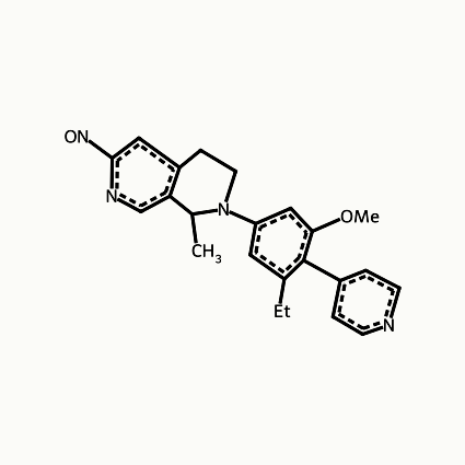 CCc1cc(N2CCc3cc(N=O)ncc3C2C)cc(OC)c1-c1ccncc1